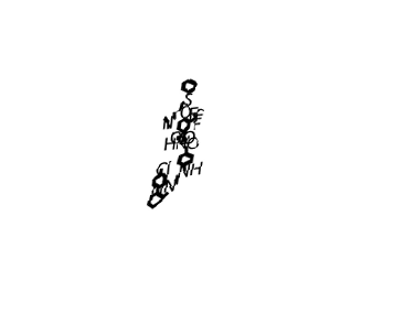 CN(C)CC[C@H](CSc1ccccc1)Oc1ccc(S(=O)(=O)NC(=O)c2ccc(NCCNCC3=C(c4ccc(Cl)cc4)CCCC3)cc2)cc1C(F)(F)F